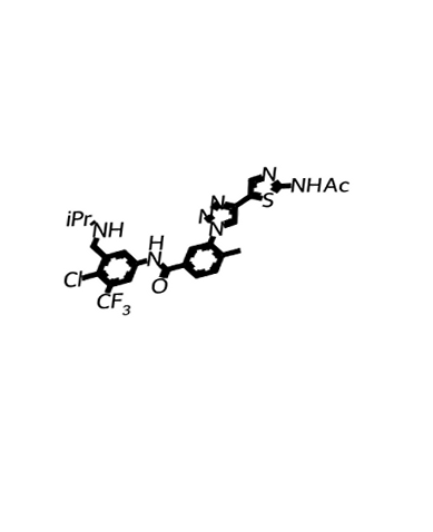 CC(=O)Nc1ncc(-c2cn(-c3cc(C(=O)Nc4cc(CNC(C)C)c(Cl)c(C(F)(F)F)c4)ccc3C)nn2)s1